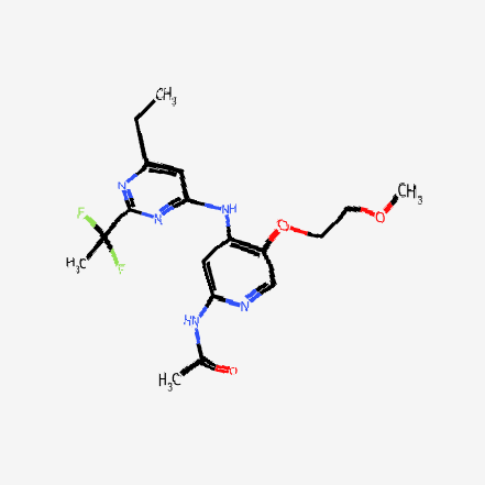 CCc1cc(Nc2cc(NC(C)=O)ncc2OCCOC)nc(C(C)(F)F)n1